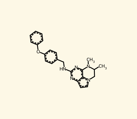 CC1Cn2ccc3nc(NCc4ccc(Oc5ccccc5)cc4)nc(c32)N1C